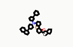 c1ccc(-c2cccc(N(c3ccc(-c4cccc5ccccc45)cc3)c3cccc4c3sc3ccc5c6ccc7ccccc7c6oc5c34)c2)cc1